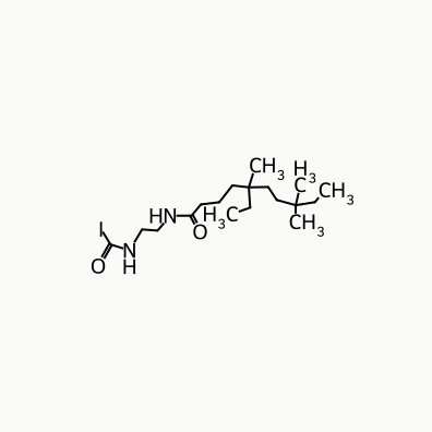 CCC(C)(C)CCC(C)(CC)CCCC(=O)NCCNC(=O)I